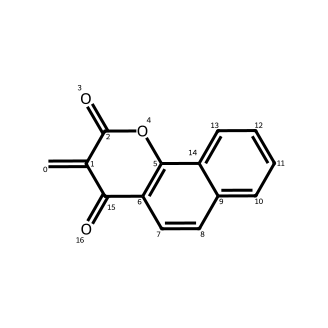 C=C1C(=O)Oc2c(ccc3ccccc23)C1=O